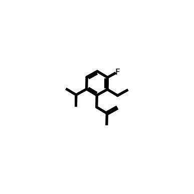 C=C(C)Cc1c(C(C)C)ccc(F)c1CC